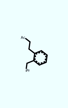 CC(=O)CCc1ccccc1CC(C)C